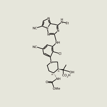 CCNc1nc(Nc2cc(C#N)cc(N3CC[C@@H](NC(=O)OC)[C@H](C(C)(O)C(=O)O)C3)c2Cl)nn2c(C#N)cnc12